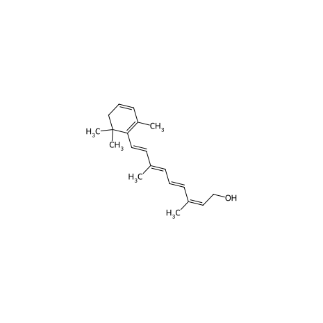 CC1=C(/C=C/C(C)=C/C=C/C(C)=C\CO)C(C)(C)CC=C1